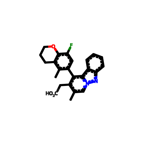 Cc1cn2nc3ccccc3c2c(-c2cc(F)c3c(c2C)CCCO3)c1CC(=O)O